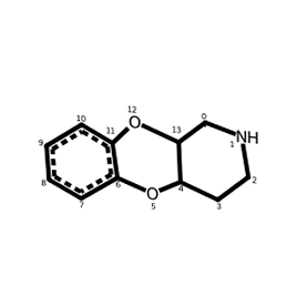 [CH]1NCCC2Oc3ccccc3OC12